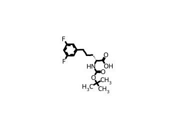 CC(C)(C)OC(=O)N[C@H](CCCc1cc(F)cc(F)c1)C(=O)O